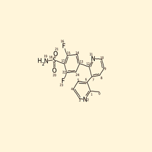 Cc1ncccc1-c1cccnc1-c1cc(F)c(S(N)(=O)=O)c(F)c1